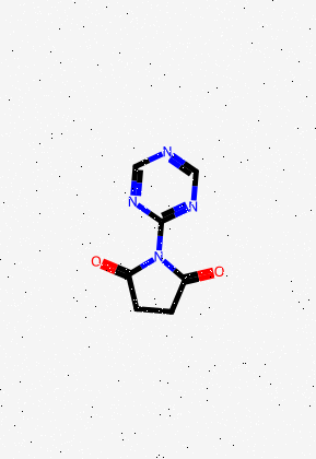 O=C1CCC(=O)N1c1ncncn1